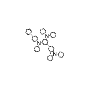 c1ccc(-c2ccc(N(c3ccccc3)c3cc(-c4ccc5c(c4)c4ccccc4n5-c4ccccc4)cc(N(c4ccccc4)c4ccccc4)c3)cc2)cc1